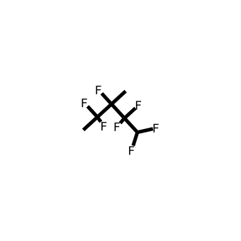 CC(F)(F)C(C)(F)C(F)(F)C(F)F